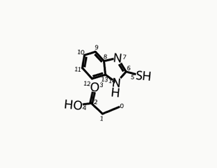 CCC(=O)O.Sc1nc2ccccc2[nH]1